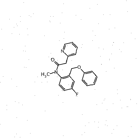 CN(C(=O)Cc1ccccn1)c1ccc(F)cc1COc1ccccc1